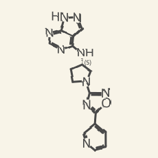 c1cncc(-c2nc(N3CC[C@H](Nc4ncnc5[nH]ncc45)C3)no2)c1